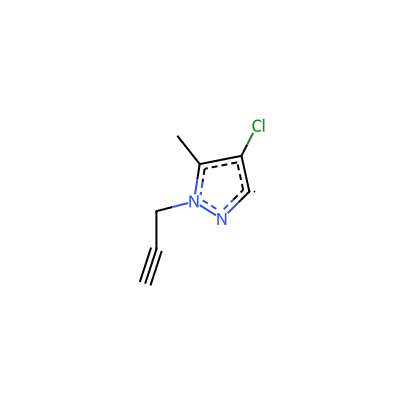 C#CCn1n[c]c(Cl)c1C